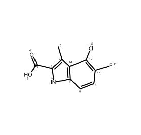 Cc1c(C(=O)O)[nH]c2ccc(F)c(Cl)c12